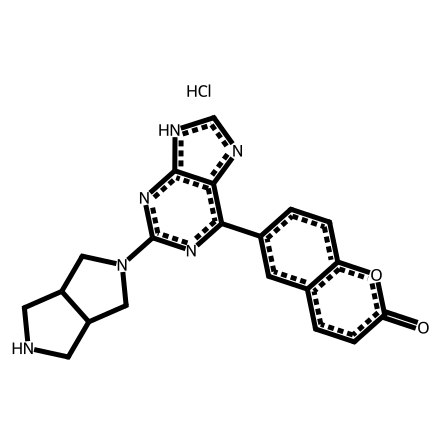 Cl.O=c1ccc2cc(-c3nc(N4CC5CNCC5C4)nc4[nH]cnc34)ccc2o1